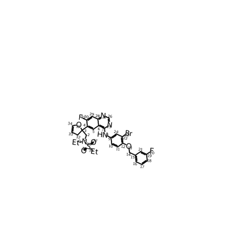 CCN(CC1(c2cc3c(Nc4ccc(OCc5cccc(F)c5)c(Br)c4)ncnc3cc2F)CC=CO1)S(=O)(=O)CC